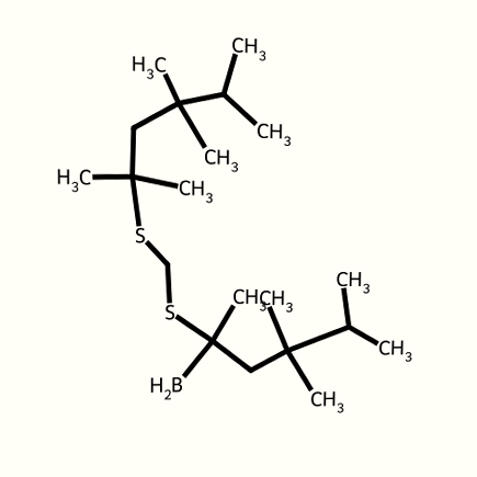 BC(C)(CC(C)(C)C(C)C)SCSC(C)(C)CC(C)(C)C(C)C